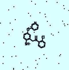 Sc1ccc(Oc2cccnc2)cc1CNc1ccccc1Cl